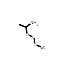 CCOOOC(C)N